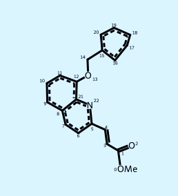 COC(=O)C=Cc1ccc2cccc(OCc3ccccc3)c2n1